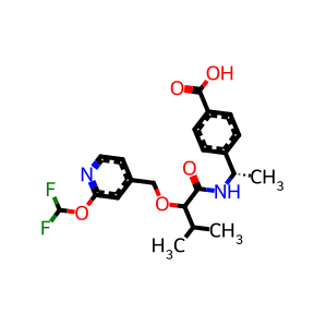 CC(C)C(OCc1ccnc(OC(F)F)c1)C(=O)N[C@@H](C)c1ccc(C(=O)O)cc1